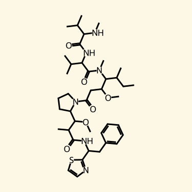 CCC(C)C(C(CC(=O)N1CCCC1C(OC)C(C)C(=O)NC(Cc1ccccc1)c1nccs1)OC)N(C)C(=O)C(NC(=O)C(NC)C(C)C)C(C)C